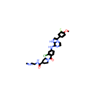 CNCCNC(=O)C1CCN(C(=O)c2ccc(NC3=NC=CN4C(c5ccc(OC)c(F)c5)=CNC34)cc2Cl)CC1